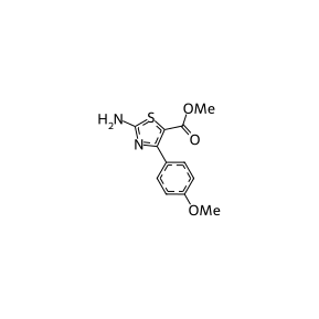 COC(=O)c1sc(N)nc1-c1ccc(OC)cc1